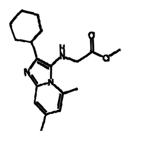 COC(=O)CNc1c(C2CCCCC2)nc2cc(C)cc(C)n12